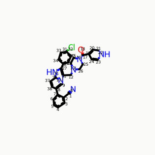 N#Cc1ccccc1C1=CN2C(CN3CCN(C(=O)C4=CCNC=C4)CC3)=C(c3ccc(Cl)cc3)NC2C=C1